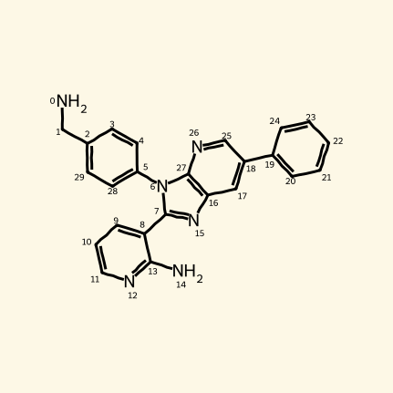 NCc1ccc(-n2c(-c3cccnc3N)nc3cc(-c4ccccc4)cnc32)cc1